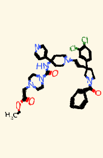 CCOC(=O)CN1CCN(C(=O)NC2(c3ccncc3)CCN(CCC3(c4ccc(Cl)c(Cl)c4)CCN(C(=O)c4ccccc4)C3)CC2)CC1